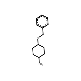 C[C]1CCC(OCc2ccccc2)CC1